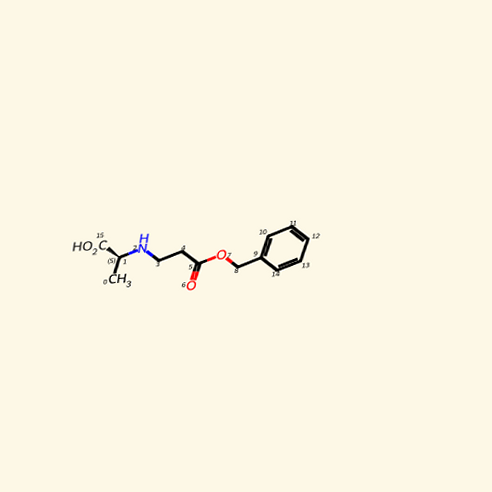 C[C@H](NCCC(=O)OCc1ccccc1)C(=O)O